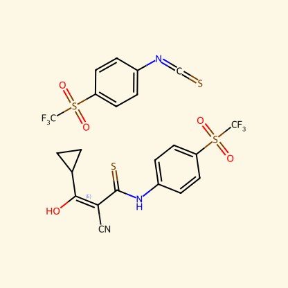 N#C/C(C(=S)Nc1ccc(S(=O)(=O)C(F)(F)F)cc1)=C(\O)C1CC1.O=S(=O)(c1ccc(N=C=S)cc1)C(F)(F)F